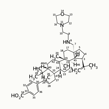 C=C(C)[C@@H]1CC[C@]2(CNCCN3CCOCC3)CC[C@]3(C)[C@H](CC[C@@H]4[C@@]5(C)CC=C(c6ccc(C(=O)O)cc6)C(C)(C)[C@@H]5CC[C@]43C)[C@@H]12